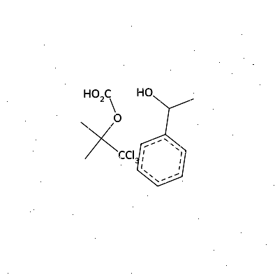 CC(C)(OC(=O)O)C(Cl)(Cl)Cl.CC(O)c1ccccc1